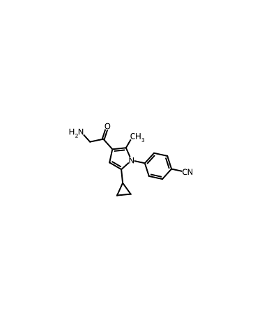 Cc1c(C(=O)CN)cc(C2CC2)n1-c1ccc(C#N)cc1